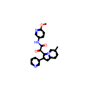 COc1ccc(NC(=O)C(=O)c2c(-c3cccnc3)cc3ccc(C)cn23)cn1